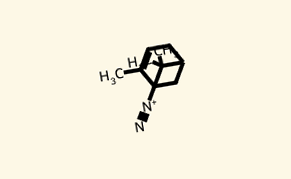 CC1=CCC2CC1([N+]#N)C2(C)C